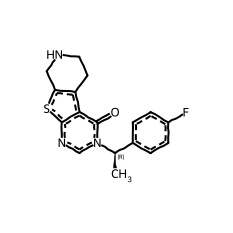 C[C@H](c1ccc(F)cc1)n1cnc2sc3c(c2c1=O)CCNC3